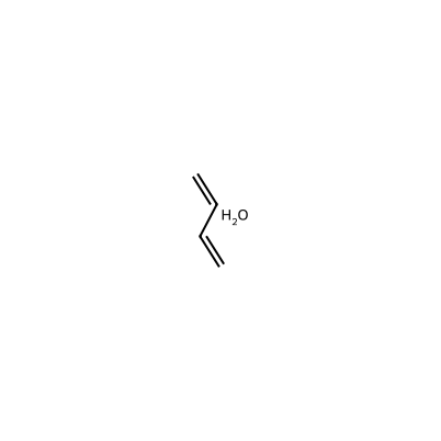 C=CC=C.O